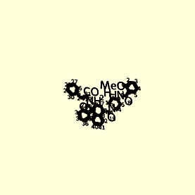 COc1ccccc1C(=O)NC1CCN(C(=O)[C@H]2CC[C@@](C(=O)N[C@H](Cc3ccccc3)C(=O)O)(c3ccccc3)c3ccccc32)CC1